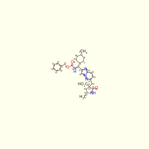 CC1CCC([C@H](NC(=O)OCc2ccccc2)c2cn3nc(CC4(C(=O)O)C[C@@H](C)NC4=O)ccc3n2)CC1